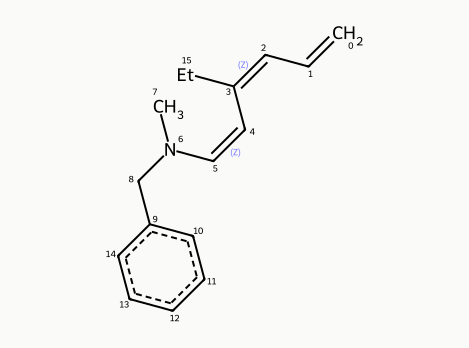 C=C/C=C(\C=C/N(C)Cc1ccccc1)CC